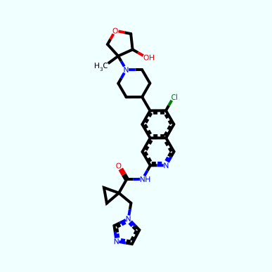 CC1(N2CCC(c3cc4cc(NC(=O)C5(Cn6ccnc6)CC5)ncc4cc3Cl)CC2)COCC1O